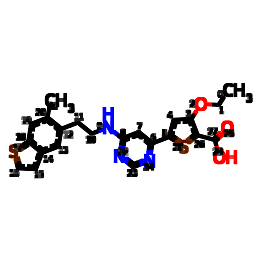 CCOc1cc(-c2cc(NCCc3cc4ccsc4cc3C)ncn2)sc1C(=O)O